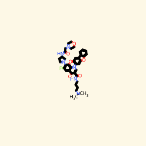 CN(C)CCCCNC(=O)c1cn2c3c(c(N4CC[C@@H](NC(=O)CN5CCOCC5)C4)c(F)cc3c1=O)Oc1cc3c(cc1-2)oc1ccccc13